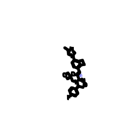 Cc1cn(-c2ccc(/C=C3\OC4(COC4)CN4C3=NOCC4c3ccc(F)cc3)c3c2CC3)cn1